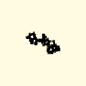 Cc1cccc(C(=O)NC[C@@]2(N)CCN(c3ncnc4[nH]cc(C)c34)C2)c1Cl